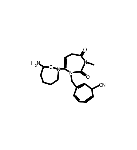 CN1C(=O)CC=C(N2CCCCC(N)C2)N(CC2=CC(C#N)C=CC=C2)C1=O